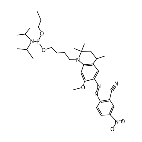 CCCOP(OCCCCN1c2cc(OC)c(/N=N/c3ccc([N+](=O)[O-])cc3C#N)cc2C(C)CC1(C)C)N(C(C)C)C(C)C